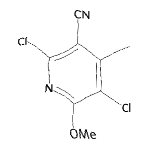 COc1nc(Cl)c(C#N)c(C)c1Cl